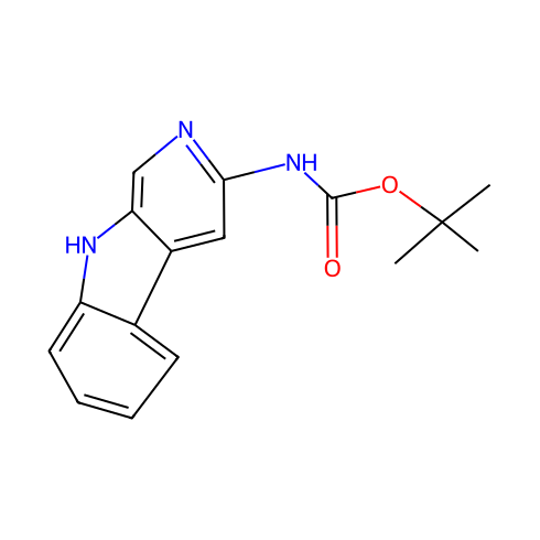 CC(C)(C)OC(=O)Nc1cc2c(cn1)[nH]c1ccccc12